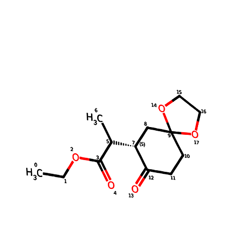 CCOC(=O)C(C)[C@@H]1CC2(CCC1=O)OCCO2